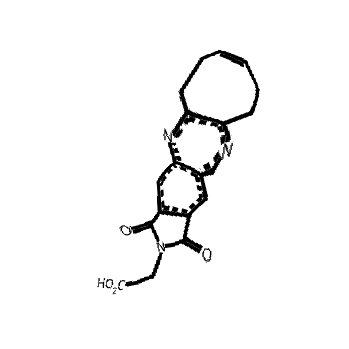 O=C(O)CN1C(=O)c2cc3nc4c(nc3cc2C1=O)CC/C=C\CC4